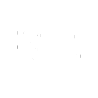 Cc1cc2nnn([Si](C)(C)C)c2cc1C